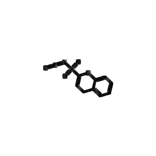 O=C=NS(=O)(=O)C1=CCc2ccccc2O1